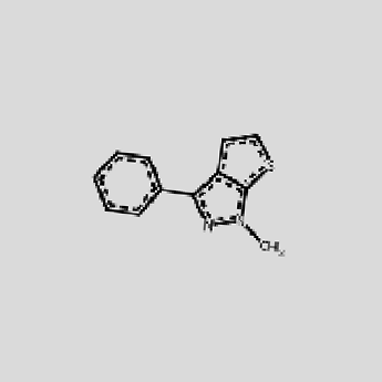 Cn1nc(-c2ccccc2)c2ccsc21